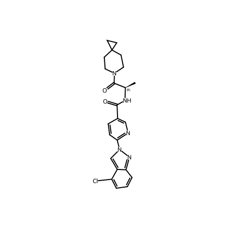 C[C@@H](NC(=O)c1ccc(-n2cc3c(Cl)cccc3n2)nc1)C(=O)N1CCC2(CC1)CC2